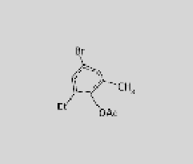 CCc1cc(Br)cc(C)c1OC(C)=O